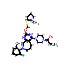 C=CC(=O)N1CCN(c2nc(OCSC3CCCN3C)nc3c2CCCN(c2c(C)cccc2F)C3)CC1